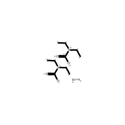 CCN(CC)C(=O)[O-].CCN(CC)C(=O)[O-].[SnH2+2]